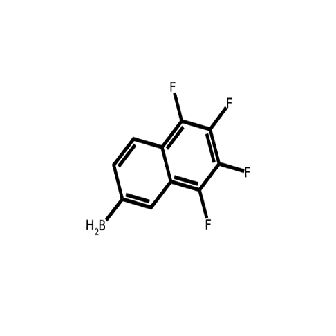 Bc1ccc2c(F)c(F)c(F)c(F)c2c1